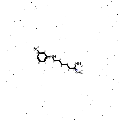 N/C(CCCCCNc1cccc(Br)c1)=N\O